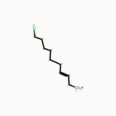 O=C(O)CC=CCCCCCCCl